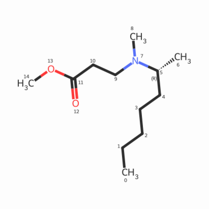 CCCCC[C@@H](C)N(C)CCC(=O)OC